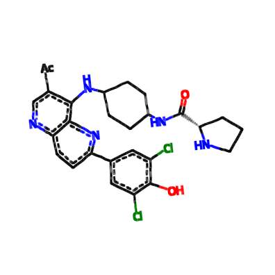 CC(=O)c1cnc2ccc(-c3cc(Cl)c(O)c(Cl)c3)nc2c1NC1CCC(NC(=O)[C@@H]2CCCN2)CC1